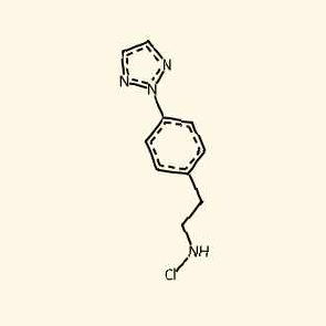 ClNCCc1ccc(-n2nccn2)cc1